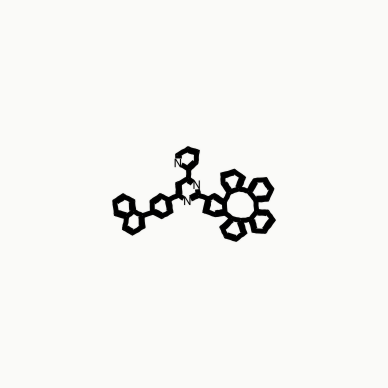 c1ccc(-c2cc(-c3ccc(-c4cccc5ccccc45)cc3)nc(-c3ccc4c5ccccc5c5ccccc5c5ccccc5c5ccccc5c4c3)n2)nc1